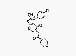 Cc1sc2ncn(CC(=O)N3CCOCC3)c(=O)c2c1-c1ccc(Cl)cc1